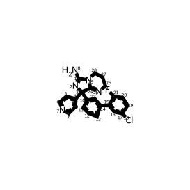 NC1=NC(c2ccncc2)(c2cccc(-c3cc(Cl)ccc3F)c2)C2=NCCCN12